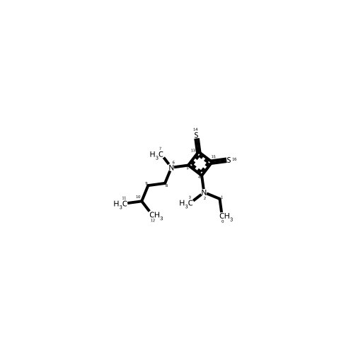 CCN(C)c1c(N(C)CCC(C)C)c(=S)c1=S